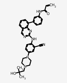 C=CC(=O)Nc1cccc(-c2cccc3cnc(Nc4ccc(N5CCN(CC(C)(C)O)CC5)cc4C#N)nc23)c1